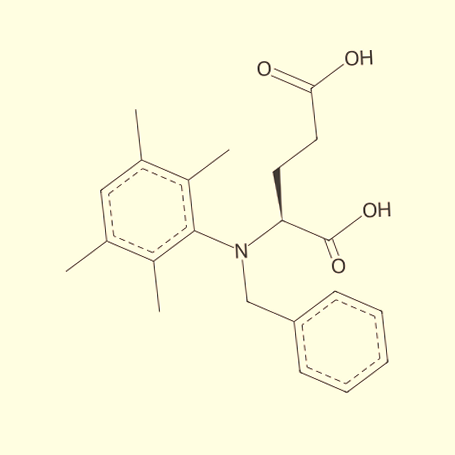 Cc1cc(C)c(C)c(N(Cc2ccccc2)[C@@H](CCC(=O)O)C(=O)O)c1C